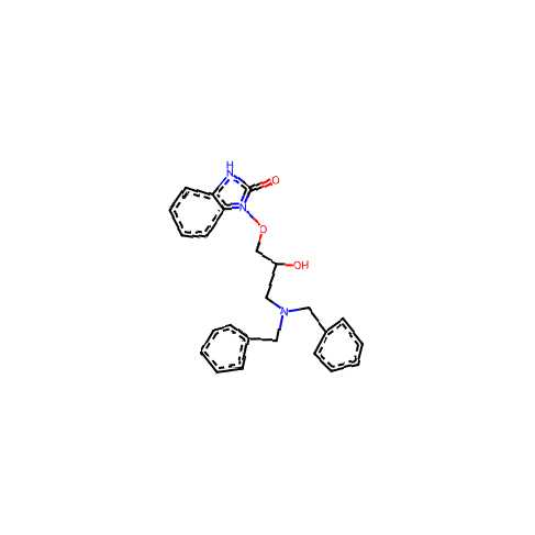 O=c1[nH]c2ccccc2n1OCC(O)CN(Cc1ccccc1)Cc1ccccc1